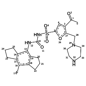 CC(=O)c1cc(S(=O)(=O)NC(=O)Nc2c3c(c(F)c4c2CCC4)CCC3)oc1CN1CCNCC1